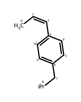 C/[C]=C\c1ccc(CC(C)C)cc1